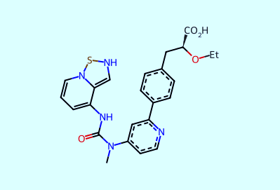 CCO[C@@H](Cc1ccc(-c2cc(N(C)C(=O)NC3=CC=CN4SNC=C34)ccn2)cc1)C(=O)O